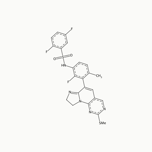 CSc1ncc2c(n1)N1CCN=C1C(c1c(C)ccc(NS(=O)(=O)c3cc(F)ccc3F)c1F)=C2